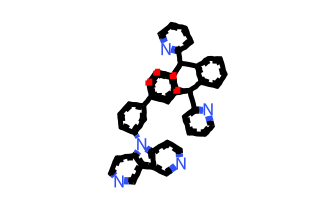 c1ccc(C23c4ccccc4C(c4ccccn4)(c4ccccc42)c2cc(-c4cccc(-n5c6ccncc6c6cnccc65)c4)ccc23)nc1